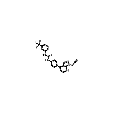 N#CCn1ncc2c(-c3ccc(NC(=O)Nc4cccc(C(F)(F)F)c4)cc3)ccnc21